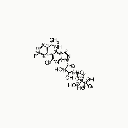 C[C@H](Nc1cc(Cl)nc2c1cnn2[C@@H]1O[C@H](COC(CO)(CO)P(=O)(O)O)[C@@H](O)[C@H]1O)c1ccc(F)cc1